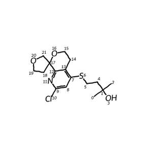 CC(C)(O)CCSc1cc(Cl)nc2c1CCOC21CCOC1